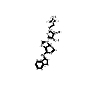 NS(=O)(=O)CC[C@H]1O[C@@H](n2cnc3c(NC4CCc5ccccc54)ncnc32)[C@H](O)[C@@H]1O